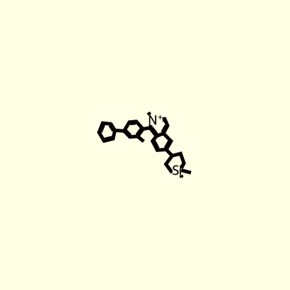 Cc1cc(-c2ccccc2)ccc1-c1c2ccc(C3CC[Si](C)(C)CC3)cc2cc[n+]1C